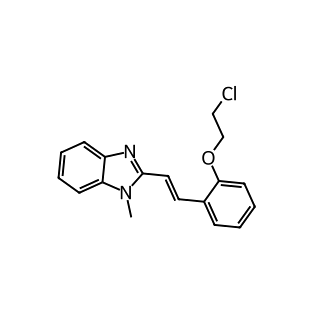 Cn1c(C=Cc2ccccc2OCCCl)nc2ccccc21